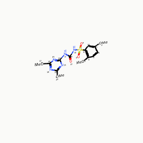 COc1ccc(OC)c(S(=O)(=O)NC(=O)Nc2nc(OC)nc(OC)n2)c1